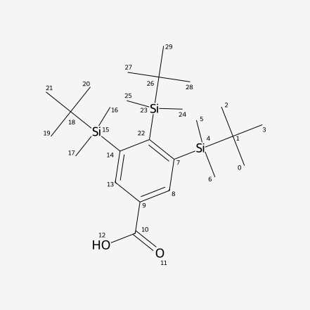 CC(C)(C)[Si](C)(C)c1cc(C(=O)O)cc([Si](C)(C)C(C)(C)C)c1[Si](C)(C)C(C)(C)C